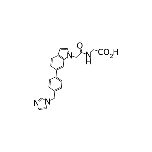 O=C(O)CNC(=O)Cn1ccc2ccc(-c3ccc(Cn4ccnc4)cc3)cc21